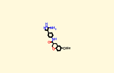 COc1ccc2c(c1)CC(C(=O)Nc1ccc(-c3cn[nH]c3N)cc1)CO2